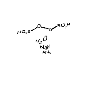 O.O=S(=O)(O)OOS(=O)(=O)O.[AlH3].[NaH]